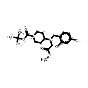 COC(=O)CN(Cc1ccc(Cl)cc1Cl)C1CCN(C(=O)OC(C)(C)C)CC1